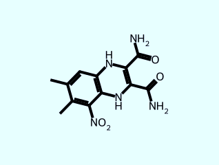 Cc1cc2c(c([N+](=O)[O-])c1C)NC(C(N)=O)=C(C(N)=O)N2